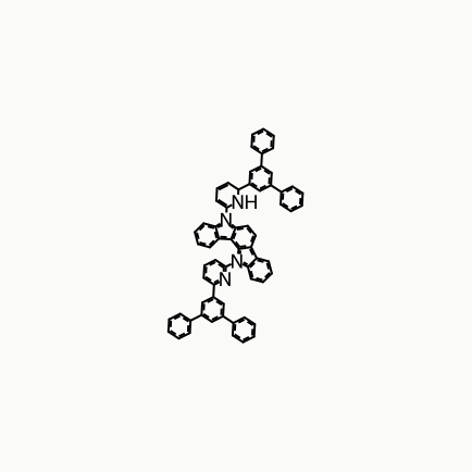 C1=CC(c2cc(-c3ccccc3)cc(-c3ccccc3)c2)NC(n2c3ccccc3c3c2ccc2c4ccccc4n(-c4cccc(-c5cc(-c6ccccc6)cc(-c6ccccc6)c5)n4)c23)=C1